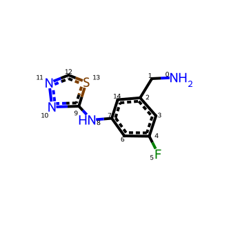 NCc1cc(F)cc(Nc2nncs2)c1